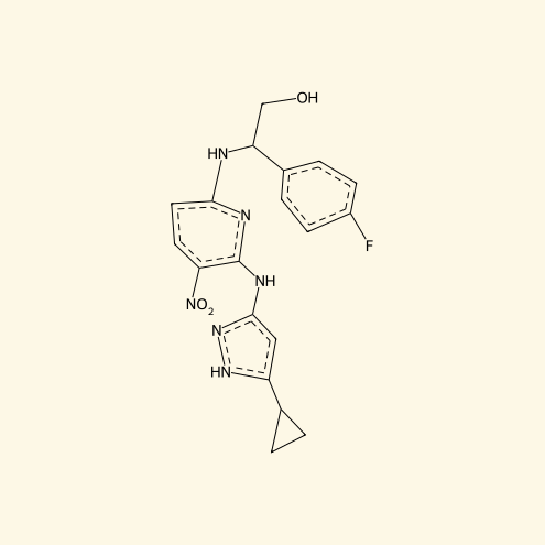 O=[N+]([O-])c1ccc(NC(CO)c2ccc(F)cc2)nc1Nc1cc(C2CC2)[nH]n1